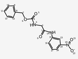 O=C(CNC(=O)OCc1ccccc1)Nc1cccc([N+](=O)[O-])c1